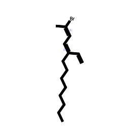 C=C/C(=C\C=C(/C)Br)CCCCCCCC